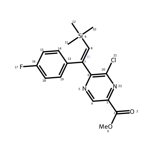 COC(=O)c1cnc(/C(=C/[Si](C)(C)C)c2ccc(F)cc2)c(Cl)n1